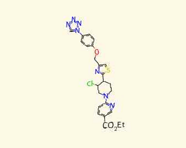 CCOC(=O)c1ccc(N2CCC(c3nc(COc4ccc(-n5cnnn5)cc4)cs3)C(Cl)C2)nc1